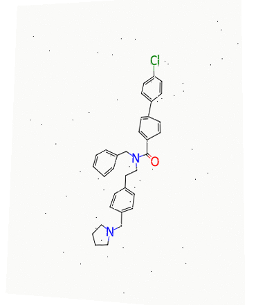 O=C(c1ccc(-c2ccc(Cl)cc2)cc1)N(CCc1ccc(CN2CCCC2)cc1)Cc1ccccc1